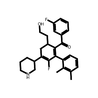 Cc1cccc(C2=C(C(=O)c3cccc(F)c3)C(CCO)[CH]C(C3CCCNC3)=C2F)c1C